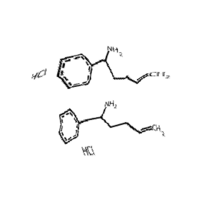 C=CCCC(N)c1ccccc1.C=CCCC(N)c1ccccc1.Cl.Cl